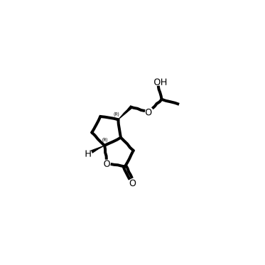 CC(O)OC[C@@H]1CC[C@H]2OC(=O)CC12